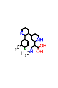 C=NCC(C(O)O)C1CC(C2CCC=NC2C2C=CC(F)C(C)C2)CCN1